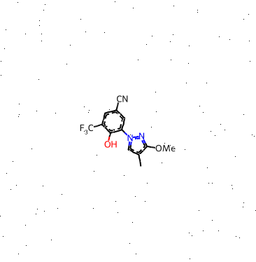 COc1nn(-c2cc(C#N)cc(C(F)(F)F)c2O)cc1C